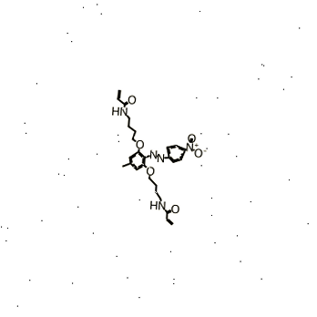 C=CC(=O)NCCCCOc1cc(C)cc(OCCCCNC(=O)C=C)c1N=Nc1ccc([N+](=O)[O-])cc1